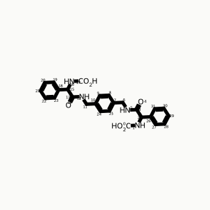 O=C(O)NC(C(=O)NCc1ccc(CNC(=O)C(NC(=O)O)c2ccccc2)cc1)c1ccccc1